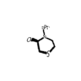 CC[CH]N1CCSCC1=O